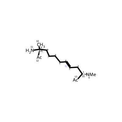 CN[C@@H](C/C=C/CCCC[C@@](C)(N)C(C)=O)C(C)=O